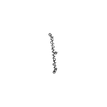 O=C=NCCOCCOCCC[S+]([O-])CCCOCCOCCN=C=O